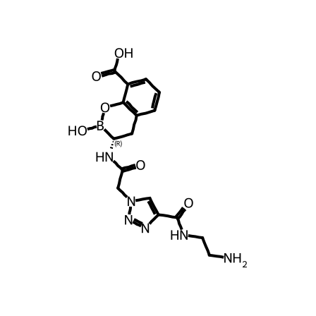 NCCNC(=O)c1cn(CC(=O)N[C@H]2Cc3cccc(C(=O)O)c3OB2O)nn1